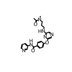 CC(=O)N(C)CCCNc1cncc(Oc2ccc(C(=O)Nc3cccnc3)cc2)n1